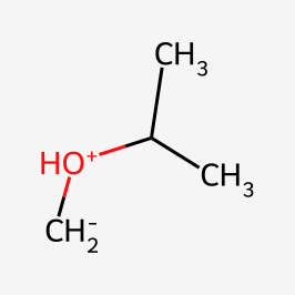 [CH2-][OH+]C(C)C